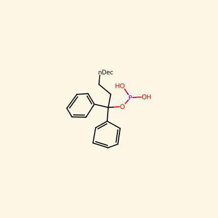 CCCCCCCCCCCCC(OP(O)O)(c1ccccc1)c1ccccc1